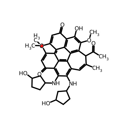 COc1c(O)c2c(=O)cc(OC)c3c4c(OC)cc(=O)c5c(NC6CCC(O)C6)c(NC6CCC(O)C6)c6c(c(c1C(C(C)=O)C(C)=C6)c23)c54